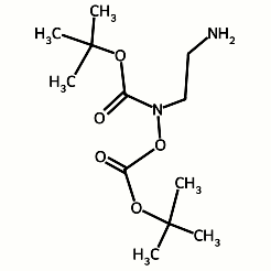 CC(C)(C)OC(=O)ON(CCN)C(=O)OC(C)(C)C